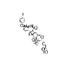 CNC(=O)c1c(-c2ccc(Oc3ccc(F)cc3)cc2)oc2cc3c(cc12)[C@H](C)O[C@H](COC[C@H]1COC(C)(C)O1)CN3S(C)(=O)=O